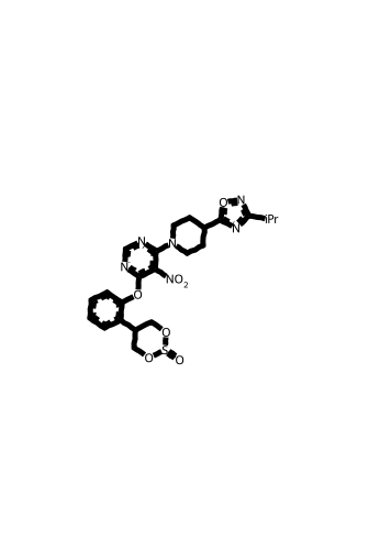 CC(C)c1noc(C2CCN(c3ncnc(Oc4ccccc4C4COS(=O)OC4)c3[N+](=O)[O-])CC2)n1